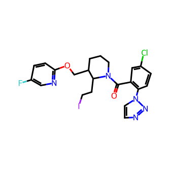 O=C(c1cc(Cl)ccc1-n1ccnn1)N1CCCC(COc2ccc(F)cn2)C1CCI